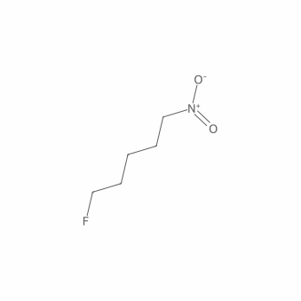 O=[N+]([O-])CCCCCF